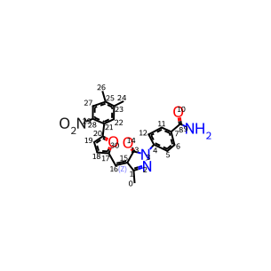 CC1=NN(c2ccc(C(N)=O)cc2)C(=O)/C1=C\c1ccc(-c2cc(C)c(C)cc2[N+](=O)[O-])o1